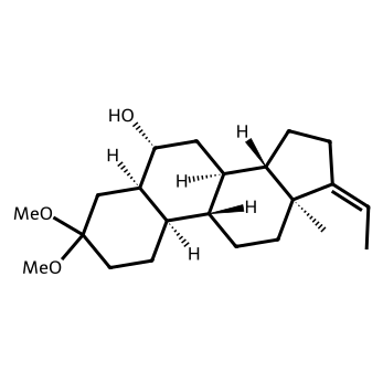 C/C=C1/CC[C@H]2[C@@H]3C[C@@H](O)[C@@H]4CC(OC)(OC)CC[C@@H]4[C@H]3CC[C@]12C